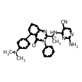 C[C@H](Nc1nc(N)ncc1C#N)c1nc2cccc(-c3ccc(N(C)C)cc3)c2c(=O)n1-c1ccccc1